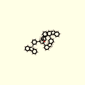 c1ccc(-c2nc(-c3cccc(-n4c5ccccc5c5ccccc54)c3)nc(-c3cccc4oc5ccc(-c6c(-c7ccccc7)ccc7sc8ccccc8c67)cc5c34)n2)cc1